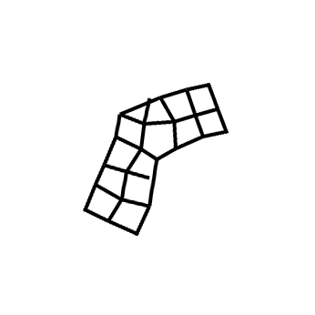 CC12C3C4CC5CC(C6C7C8CC9CC%10C%11C%12C3C61C%12(C)C%117C9%108)C542